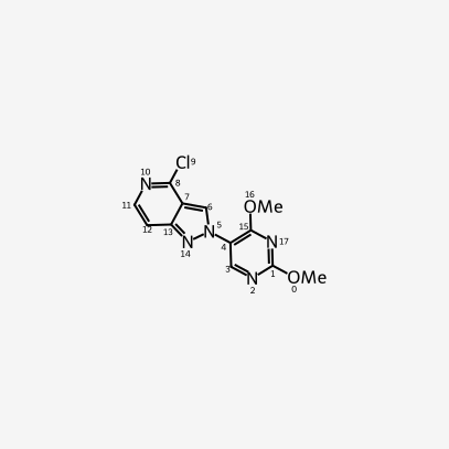 COc1ncc(-n2cc3c(Cl)nccc3n2)c(OC)n1